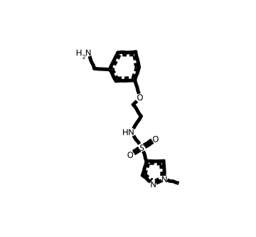 Cn1cc(S(=O)(=O)NCCOc2cccc(CN)c2)cn1